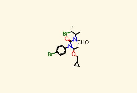 CC([C@@H](C)Br)N(C=O)C(=O)N(c1ccc(Br)cc1)C(C)OCC1CC1